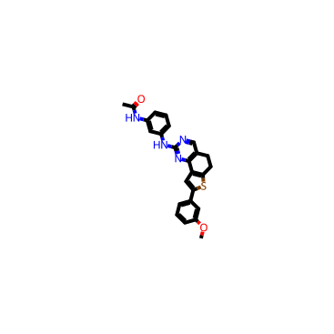 COc1cccc(-c2cc3c(s2)CCc2cnc(Nc4cccc(NC(C)=O)c4)nc2-3)c1